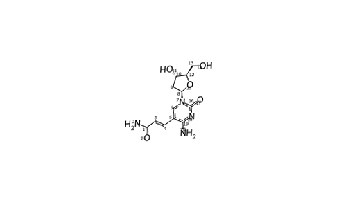 NC(=O)C=Cc1cn([C@H]2C[C@H](O)[C@@H](CO)O2)c(=O)nc1N